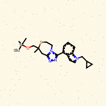 CC1(CO[Si](C)(C)C(C)(C)C)Cc2nnc(-c3cccc4c3ccn4CC3CC3)n2CCS1